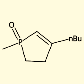 CCCCC1=CP(C)(=O)CC1